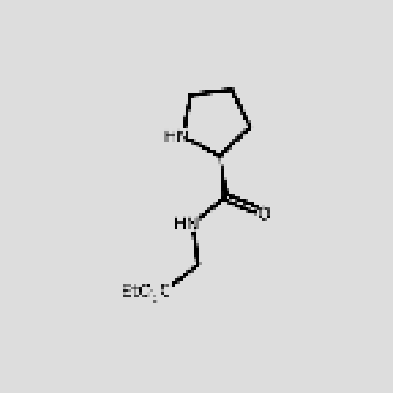 CCOC(=O)CNC(=O)[C@@H]1CCCN1